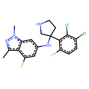 Cc1nn(C)c2cc(NC3(c4c(F)ccc(Cl)c4Cl)CCNC3)cc(F)c12